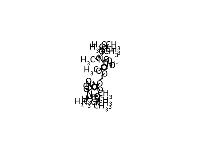 COc1cc(C(=O)N2C=C(C)C[C@H]2CO[Si](C)(C)C(C)(C)C)c([N+](=O)[O-])cc1OCCCOc1cc([N+](=O)[O-])c(C(=O)N2C=C(C)C[C@H]2CO[Si](C)(C)C(C)(C)C)cc1OC